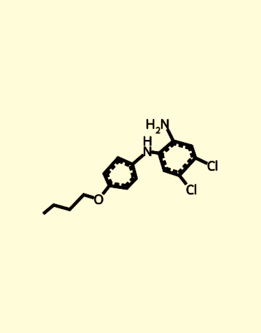 CCCCOc1ccc(Nc2cc(Cl)c(Cl)cc2N)cc1